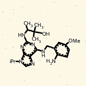 COc1ccc(N)c(CNc2nc(NC(C)C(C)(C)O)nc3c2ncn3C(C)C)c1